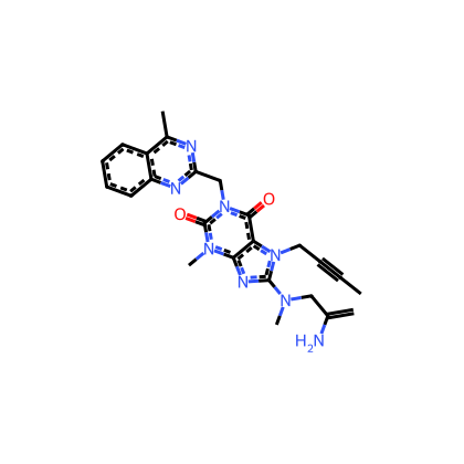 C=C(N)CN(C)c1nc2c(c(=O)n(Cc3nc(C)c4ccccc4n3)c(=O)n2C)n1CC#CC